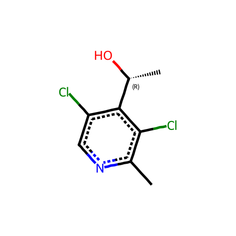 Cc1ncc(Cl)c([C@@H](C)O)c1Cl